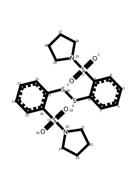 O=S(=O)(c1ccccc1SSc1ccccc1S(=O)(=O)N1CCCC1)N1CCCC1